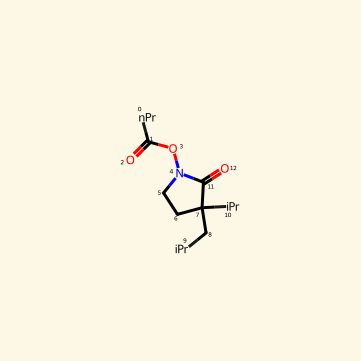 CCCC(=O)ON1CCC(CC(C)C)(C(C)C)C1=O